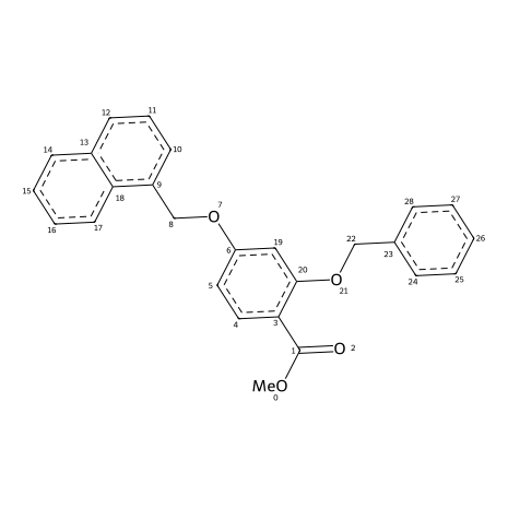 COC(=O)c1ccc(OCc2cccc3ccccc23)cc1OCc1ccccc1